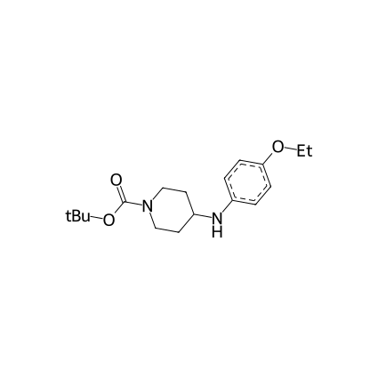 CCOc1ccc(NC2CCN(C(=O)OC(C)(C)C)CC2)cc1